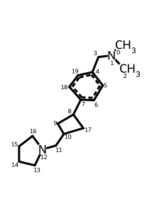 CN(C)Cc1ccc(C2CC(CN3CCCC3)C2)cc1